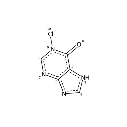 O=c1c2[nH]cnc2ncn1Cl